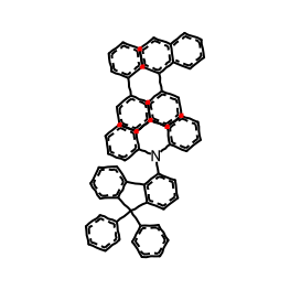 c1ccc(-c2cccc(-c3ccccc3N(c3ccccc3-c3cccc(-c4cccc5ccccc45)c3)c3cccc4c3-c3ccccc3C4(c3ccccc3)c3ccccc3)c2)cc1